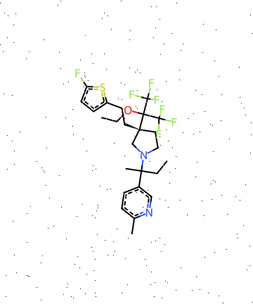 CCOC(C(F)(F)F)(C(F)(F)F)[C@]1(CCc2ccc(F)s2)CCN(C(C)(CC)c2ccc(C)nc2)C1